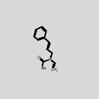 C=CN(C/C=C/c1ccccc1)C(=O)C(C)CC